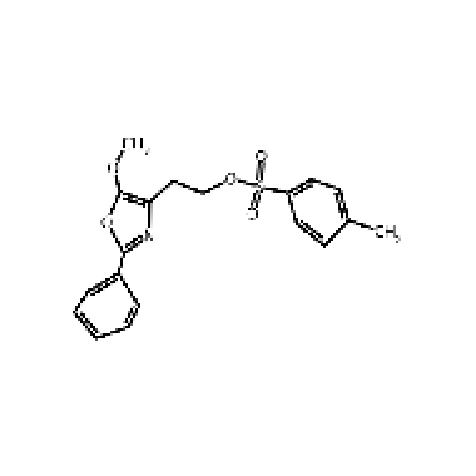 COc1oc(-c2ccccc2)nc1CCOS(=O)(=O)c1ccc(C)cc1